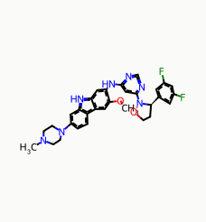 COc1cc2c(cc1Nc1cc(N3OCC[C@@H]3c3cc(F)cc(F)c3)ncn1)[nH]c1cc(N3CCN(C)CC3)ccc12